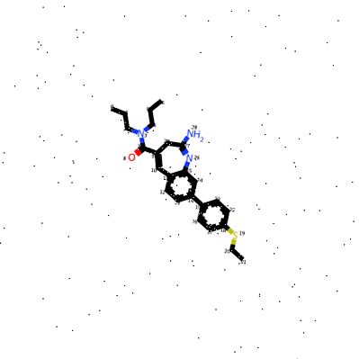 CCCN(CCC)C(=O)C1=Cc2ccc(-c3ccc(SCC)cc3)cc2N=C(N)C1